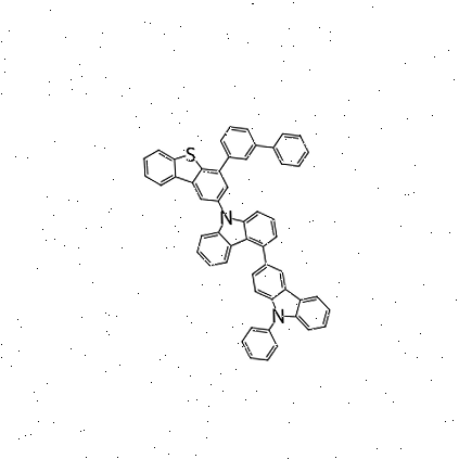 c1ccc(-c2cccc(-c3cc(-n4c5ccccc5c5c(-c6ccc7c(c6)c6ccccc6n7-c6ccccc6)cccc54)cc4c3sc3ccccc34)c2)cc1